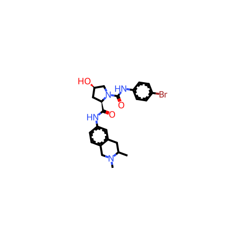 CC1Cc2cc(NC(=O)[C@H]3C[C@@H](O)CN3C(=O)Nc3ccc(Br)cc3)ccc2CN1C